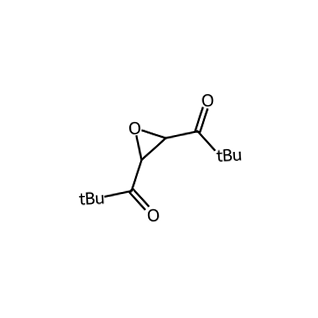 CC(C)(C)C(=O)C1OC1C(=O)C(C)(C)C